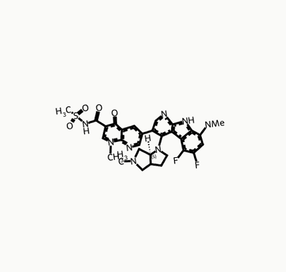 CNc1cc(F)c(F)c2c1[nH]c1ncc(-c3cnc4c(c3)c(=O)c(C(=O)NS(C)(=O)=O)cn4C)c(N3CCC4CN(C)C[C@H]43)c12